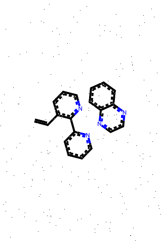 C=Cc1cccnc1-c1ccccn1.c1ccc2nccnc2c1